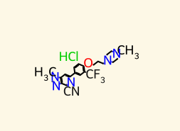 CN1CCN(CCCOc2ccc(-c3cc4c(ncn4C)c(C#N)n3)cc2C(F)(F)F)CC1.Cl